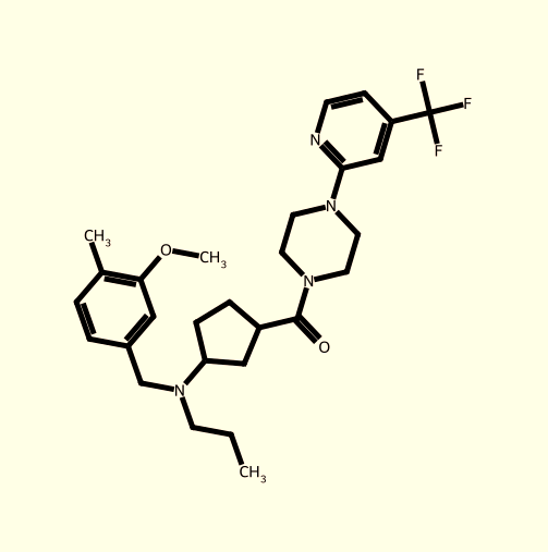 CCCN(Cc1ccc(C)c(OC)c1)C1CCC(C(=O)N2CCN(c3cc(C(F)(F)F)ccn3)CC2)C1